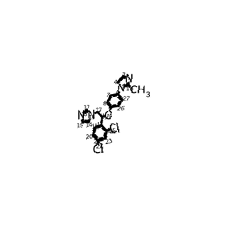 Cc1nccn1-c1ccc(OC(Cn2ccnc2)c2ccc(Cl)cc2Cl)cc1